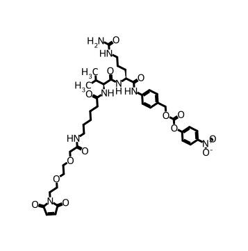 CC(C)[C@H](NC(=O)CCCCCNC(=O)COCCOCCN1C(=O)C=CC1=O)C(=O)N[C@@H](CCCNC(N)=O)C(=O)Nc1ccc(COC(=O)Oc2ccc([N+](=O)[O-])cc2)cc1